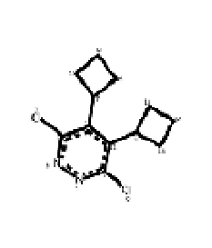 Clc1nnc(Cl)c(C2CCC2)c1C1CCC1